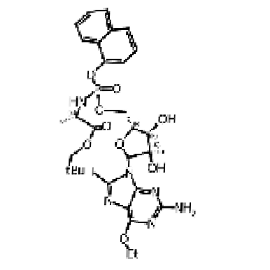 CCOc1nc(N)nc2c1nc(I)n2C1O[C@H](COP(=O)(N[C@@H](C)C(=O)OCC(C)(C)C)Oc2cccc3ccccc23)[C@@H](O)[C@@]1(C)O